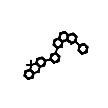 CC1(C)c2ccccc2Oc2cc(-c3cccc(-c4ccc5ccc6ccc(-c7ccccc7)nc6c5n4)c3)ccc21